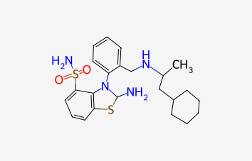 CC(CC1CCCCC1)NCc1ccccc1N1c2c(cccc2S(N)(=O)=O)SC1N